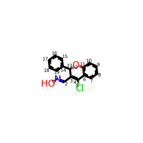 ON=CC1=C(Cl)c2ccccc2OC1c1ccccc1